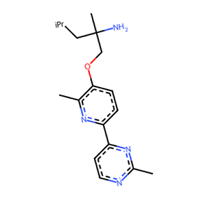 Cc1nccc(-c2ccc(OCC(C)(N)CC(C)C)c(C)n2)n1